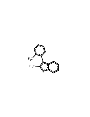 Cc1nc2ccccc2n1-c1ccccc1C(F)(F)F